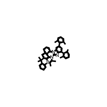 CC1=C(C)n2c3c4c(cc5cccc(c53)n3c5cc(-c6c(C)cccc6C)cc(-c6c(C)cccc6C)c5nc23)C(C)(C)c2ccccc2B14